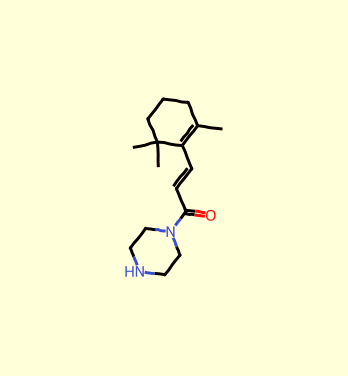 CC1=C(C=CC(=O)N2CCNCC2)C(C)(C)CCC1